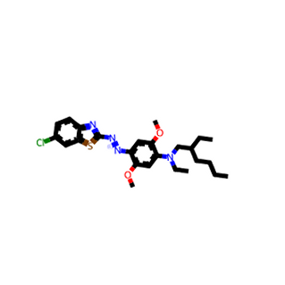 CCCCC(CC)CN(CC)c1cc(OC)c(/N=N/c2nc3ccc(Cl)cc3s2)cc1OC